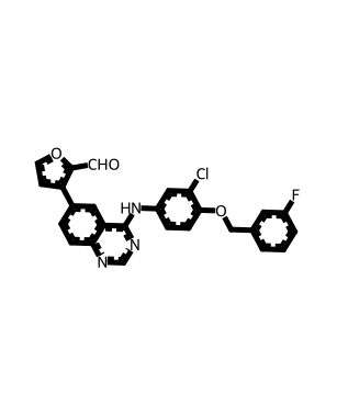 O=Cc1occc1-c1ccc2ncnc(Nc3ccc(OCc4cccc(F)c4)c(Cl)c3)c2c1